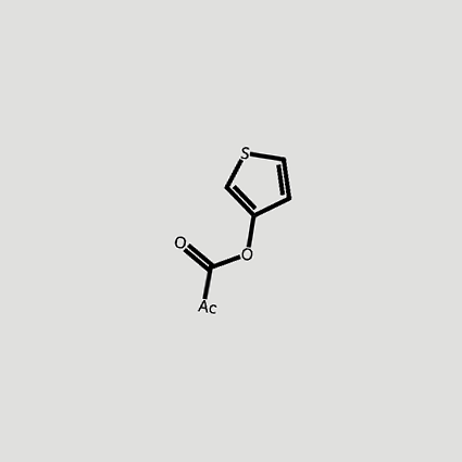 CC(=O)C(=O)Oc1ccsc1